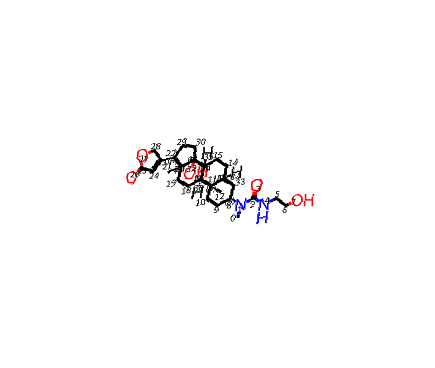 CN(C(=O)NCCO)[C@H]1CC[C@@]2(C)[C@H](CC[C@@H]3[C@@H]2CC[C@]2(C)[C@@H](C4=CC(=O)OC4)CC[C@]32O)C1